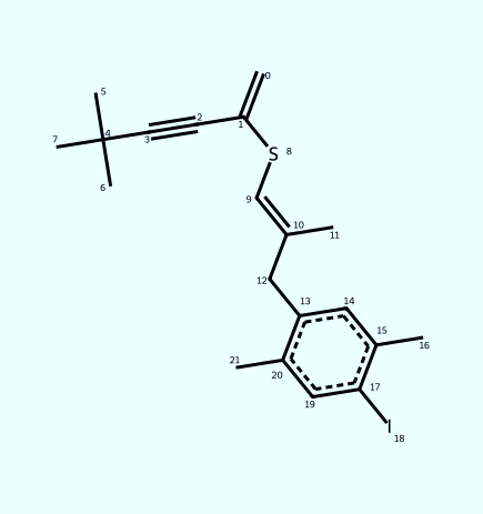 C=C(C#CC(C)(C)C)S/C=C(\C)Cc1cc(C)c(I)cc1C